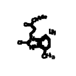 COC(=O)CCn1c(Cl)nc2c(C)cccc21.[LiH]